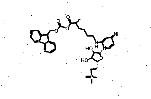 C=P(C)(C)CC[C@H]1O[C@@H](n2ccc(=N)cc2NCCCCC(C)C(=O)OC(=O)OCC2c3ccccc3-c3ccccc32)[C@H](O)[C@@H]1O